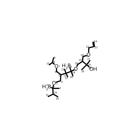 BC(C)(OCC(COC(C)C)C(C)(C)C(B)(C)OCC(COCC=C)C(C)(C)O)C(C)C